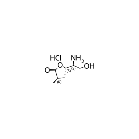 C[C@@H]1C[C@@H]([C@@H](N)CO)OC1=O.Cl